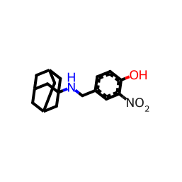 O=[N+]([O-])c1cc(CNC23CC4CC(CC(C4)C2)C3)ccc1O